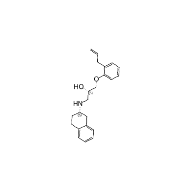 C=CCc1ccccc1OC[C@@H](O)CN[C@H]1CCc2ccccc2C1